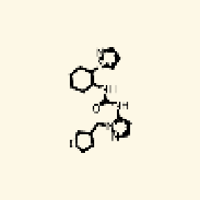 O=C(Nc1ccnn1CC1CCOC1)NC1CCCCC1n1cccn1